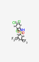 O=S(=O)(Nc1cc(Cl)c(Cl)cc1Cl)c1cc(C(F)(F)F)cc(C(F)(F)F)c1